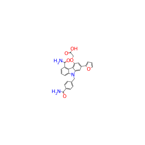 NC(=O)c1ccc(Cn2c3cc(-c4ccco4)cc(OCC(=O)O)c3c3c(C(N)=O)cccc32)cc1